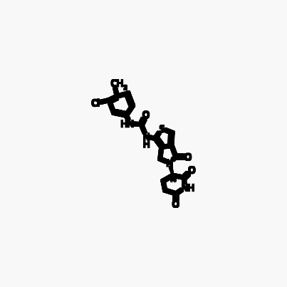 Cc1ccc(NC(=O)Nc2scc3c2CN([C@@H]2CCC(=O)NC2=O)C3=O)cc1Cl